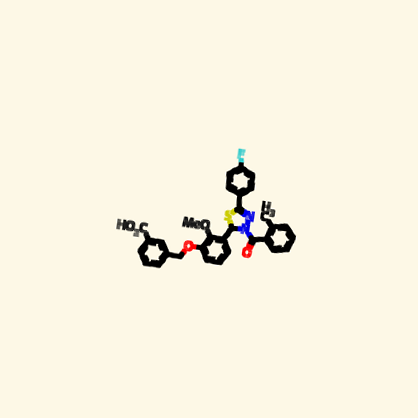 COc1c(OCc2cccc(C(=O)O)c2)cccc1C1SC(c2ccc(F)cc2)=NN1C(=O)c1ccccc1C